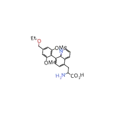 CCOCc1cc(OC)c(-c2ccc(CC(N)C(=O)O)c3cccnc23)c(OC)c1